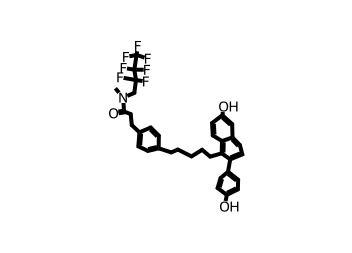 CN(CC(F)(F)C(F)(F)C(F)(F)F)C(=O)CCc1ccc(CCCCCc2c(-c3ccc(O)cc3)ccc3cc(O)ccc23)cc1